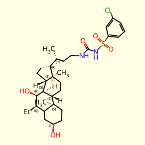 CC[C@@H]1C2C[C@H](O)CC[C@]2(C)[C@H]2CC[C@]3(C)[C@@H]([C@H](C)CCNC(=O)NS(=O)(=O)c4cccc(Cl)c4)CC[C@H]3[C@@H]2[C@@H]1O